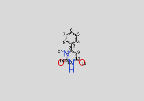 Cn1c(-c2ccccc2)cc(=O)[nH]c1=O